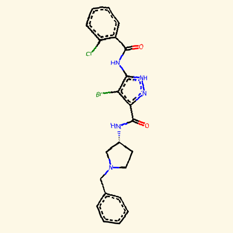 O=C(Nc1[nH]nc(C(=O)N[C@@H]2CCN(Cc3ccccc3)C2)c1Br)c1ccccc1Cl